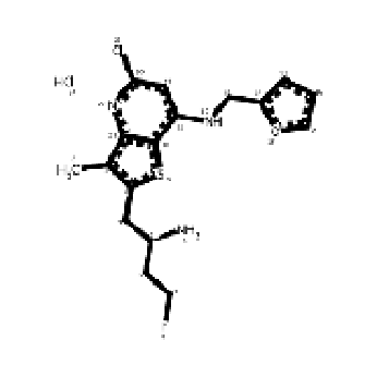 Cc1c(C[C@@H](N)CCF)sc2c(NCc3ccco3)cc(Cl)nc12.Cl